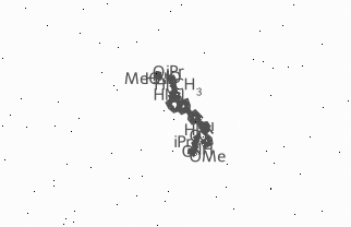 COC(=O)N[C@H](C(=O)N[C@@H](C)c1nc2c([nH]1)CCCc1cc(-c3ccc(-c4cnc([C@@H]5CCCN5C(=O)[C@@H](NC(=O)OC)C(C)C)[nH]4)cc3)ccc1-2)C(C)C